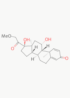 COCC(=O)[C@@]1(O)CC[C@H]2[C@@H]3CCC4=CC(=O)C=C[C@]4(C)[C@H]3[C@@H](O)C[C@@]21C